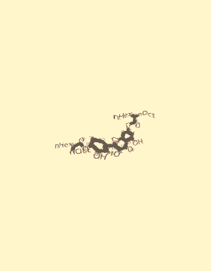 CCCCCCCCC(CCCCCC)C(=O)Oc1cc(O)c2c(=O)c(O)c(-c3ccc(OC(=O)C(CCCCCC)CCCCCCCC)c(O)c3)oc2c1